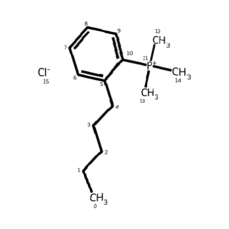 CCCCCc1ccccc1[P+](C)(C)C.[Cl-]